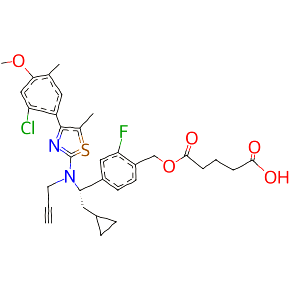 C#CCN(c1nc(-c2cc(C)c(OC)cc2Cl)c(C)s1)[C@@H](CC1CC1)c1ccc(COC(=O)CCCC(=O)O)c(F)c1